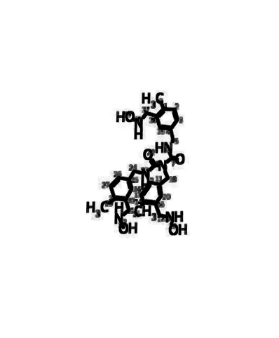 Cc1ccc(CNC(=O)N(Cc2ccc(C)c(CNO)c2)C(=O)NCc2ccc(C)c(CNO)c2)cc1CNO